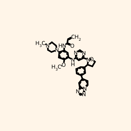 C=CC(=O)Nc1cc(Nc2cc(N3OCCC3c3cccc(-c4ccn5ncnc5c4)c3)ncn2)c(OC)cc1N1CCN(C)CC1